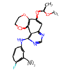 CCOC(C)Oc1cc2ncnc(Nc3ccc(F)c([N+](=O)[O-])c3)c2c2c1OCCO2